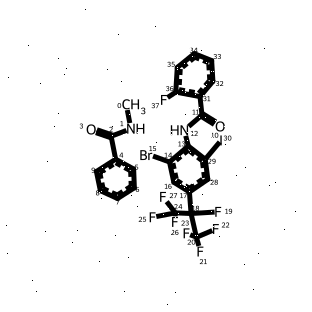 CNC(=O)c1ccccc1.O=C(Nc1c(Br)cc(C(F)(C(F)(F)F)C(F)(F)F)cc1I)c1ccccc1F